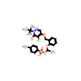 Cc1ccc(S(=O)(=O)OC(C)Oc2ccccc2COc2cnn(C(C)(C)C)c(=O)c2Cl)cc1